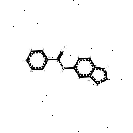 O=C(Oc1ccc2sccc2c1)c1ccccc1